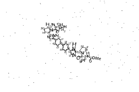 COC(=O)N[C@H](C(=O)N1CCC[C@H]1c1ncc(-c2ccc(-c3ccc(-c4cnc([C@@H]5CCCN5C(=O)[C@@H](N)C(C)(C)O)[nH]4)cc3)cc2)[nH]1)C(C)C